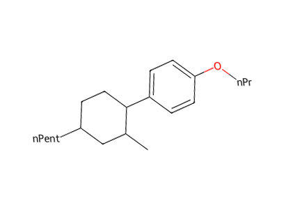 CCCCCC1CCC(c2ccc(OCCC)cc2)C(C)C1